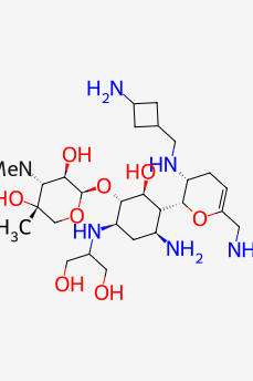 CN[C@@H]1[C@@H](O)[C@@H](O[C@H]2[C@H](NC(CO)CO)C[C@H](N)C([C@H]3OC(CN)=CC[C@H]3NCC3CC(N)C3)[C@@H]2O)OC[C@]1(C)O